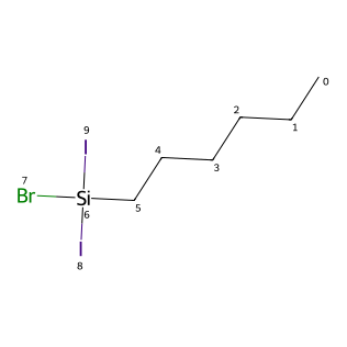 CCCCCC[Si](Br)(I)I